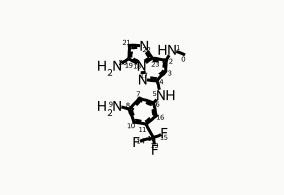 CNc1cc(Nc2cc(N)cc(C(F)(F)F)c2)nn2c(N)cnc12